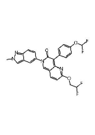 Cn1cc2cc(-n3cc4ccc(OCC(F)F)nc4c(-c4ccc(OC(F)F)cc4)c3=O)ccc2n1